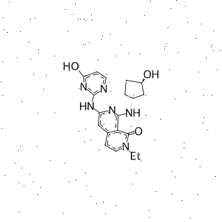 CCn1ccc2cc(Nc3nccc(O)n3)nc(N[C@@H]3CC[C@@H](O)C3)c2c1=O